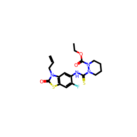 C=CCn1c(=O)sc2cc(F)c(NC(=S)N3CCCCN3C(=O)OCC)cc21